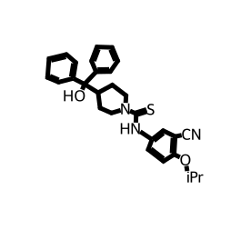 CC(C)Oc1ccc(NC(=S)N2CCC(C(O)(c3ccccc3)c3ccccc3)CC2)cc1C#N